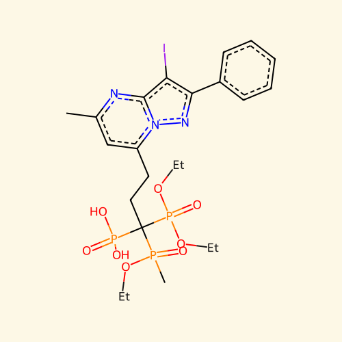 CCOP(C)(=O)C(CCc1cc(C)nc2c(I)c(-c3ccccc3)nn12)(P(=O)(O)O)P(=O)(OCC)OCC